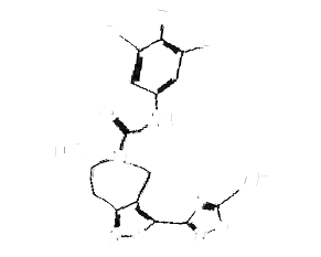 Cc1nc(-c2onc3c2CN(C(=O)Nc2cc(F)c(F)c(F)c2)[C@@H](C)C3)no1